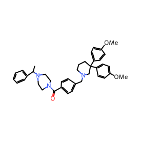 COc1ccc(C2(c3ccc(OC)cc3)CCCN(Cc3ccc(C(=O)N4CCN(C(C)c5ccccc5)CC4)cc3)C2)cc1